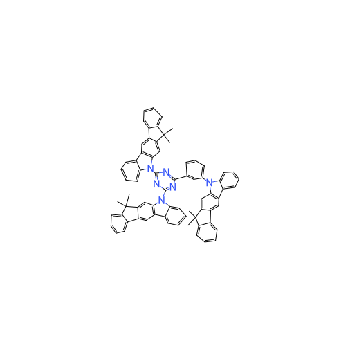 CC1(C)c2ccccc2-c2cc3c4ccccc4n(-c4cccc(-c5nc(-n6c7ccccc7c7cc8c(cc76)C(C)(C)c6ccccc6-8)nc(-n6c7ccccc7c7cc8c(cc76)C(C)(C)c6ccccc6-8)n5)c4)c3cc21